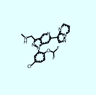 CNCc1nn(-c2cc(Cl)ccc2OC(F)F)c2cc(-c3cnn4cccnc34)ncc12